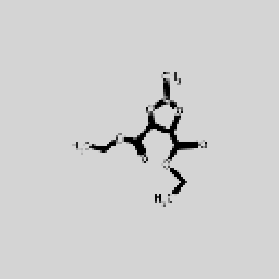 CCOC(=O)C1OB(C)OC1C(=O)OCC